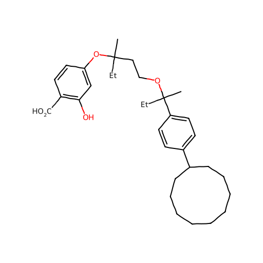 CCC(C)(CCOC(C)(CC)c1ccc(C2CCCCCCCCC2)cc1)Oc1ccc(C(=O)O)c(O)c1